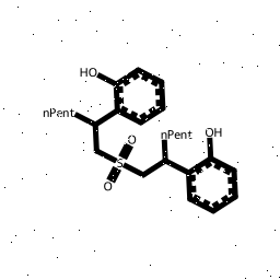 CCCCCC(CS(=O)(=O)CC(CCCCC)c1ccccc1O)c1ccccc1O